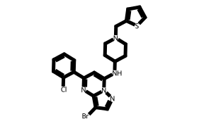 Clc1ccccc1-c1cc(NC2CCN(Cc3cccs3)CC2)n2ncc(Br)c2n1